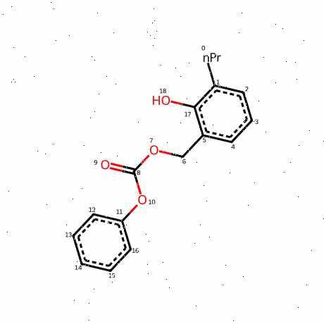 CCCc1cccc(COC(=O)Oc2ccccc2)c1O